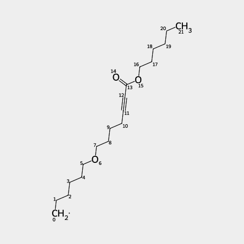 [CH2]CCCCCOCCCCC#CC(=O)OCCCCCC